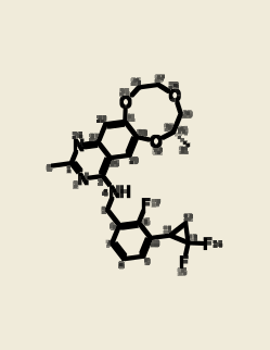 Cc1nc(NCc2cccc(C3CC3(F)F)c2F)c2cc3c(cc2n1)OCCOC[C@H](C)O3